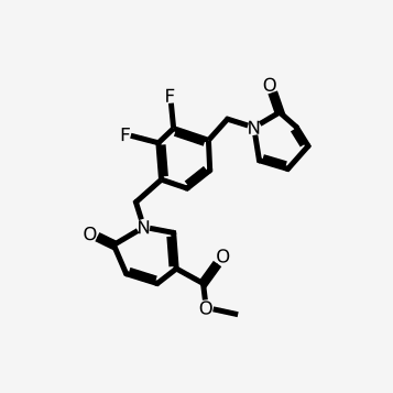 COC(=O)c1ccc(=O)n(Cc2ccc(Cn3ccccc3=O)c(F)c2F)c1